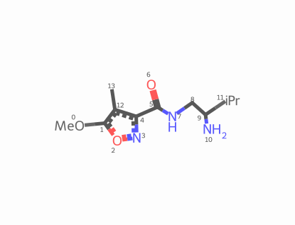 COc1onc(C(=O)NCC(N)C(C)C)c1C